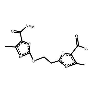 CCC(=O)c1oc(CCOc2nc(C)c(C(=O)NC)o2)nc1C